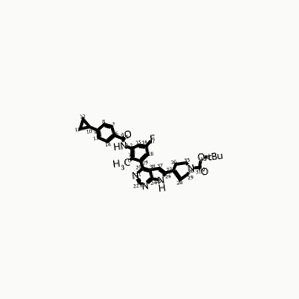 Cc1c(NC(=O)c2ccc(C3CC3)cc2)cc(F)cc1-c1ncnc2[nH]c(C3=CCN(C(=O)OC(C)(C)C)CC3)cc12